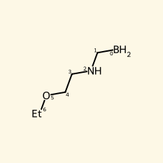 BCNCCOCC